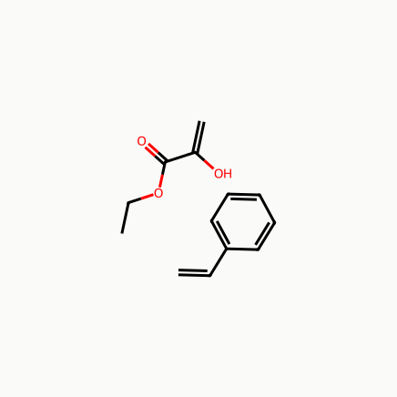 C=C(O)C(=O)OCC.C=Cc1ccccc1